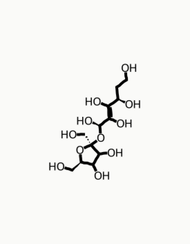 OCC[C@@H](O)/C(O)=C(\O)[C@H](O)O[C@]1(CO)O[C@H](CO)C(O)C1O